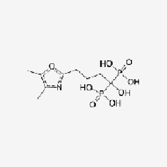 Cc1nc(CCCC(O)(P(=O)(O)O)P(=O)(O)O)oc1C